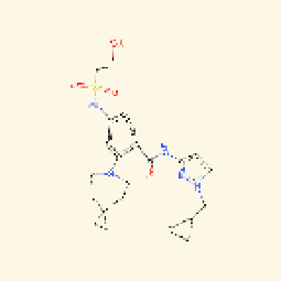 O=C(Nc1ccn(CC2CC2)n1)c1ccc(NS(=O)(=O)CCO)cc1N1CCC2(CC1)CC2